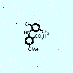 COc1ccc(Nc2cc(C(F)(F)F)ccc2Cl)c(C(=O)O)c1